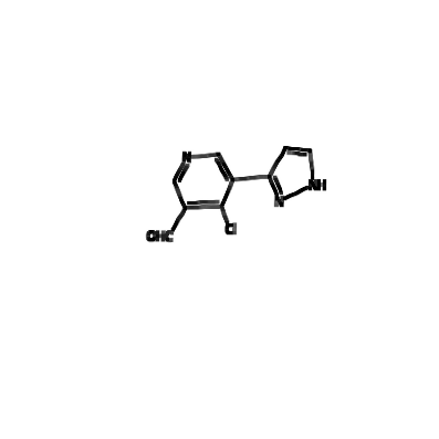 O=Cc1cncc(-c2cc[nH]n2)c1Cl